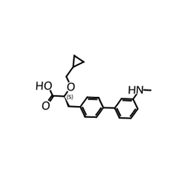 CNc1cccc(-c2ccc(C[C@H](OCC3CC3)C(=O)O)cc2)c1